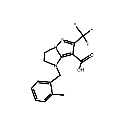 Cc1ccccc1CN1CCn2nc(C(F)(F)F)c(C(=O)O)c21